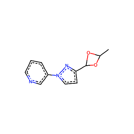 CC1OC(c2ccn(-c3cccnc3)n2)O1